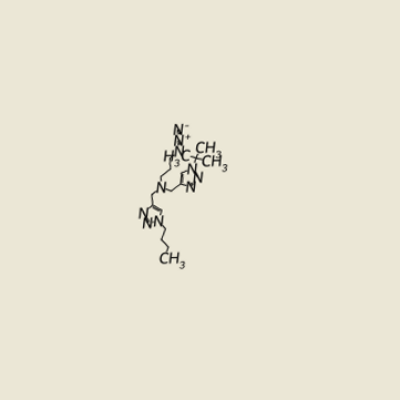 CCCCn1cc(CN(CCCN=[N+]=[N-])Cc2cn(C(C)(C)C)nn2)nn1